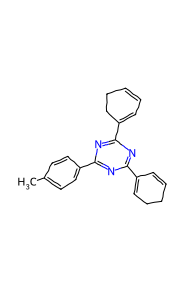 Cc1ccc(-c2nc(C3=CCCC=C3)nc(C3=CC=CCC3)n2)cc1